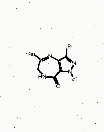 CCn1nc(C(C)C)c2c1C(=O)NCC(C(C)(C)C)=N2